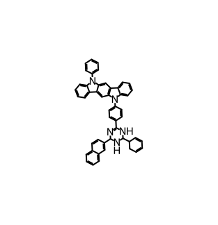 C1=CCC(C2NC(c3ccc(-n4c5ccccc5c5cc6c(cc54)c4ccccc4n6-c4ccccc4)cc3)=NC(c3ccc4ccccc4c3)N2)C=C1